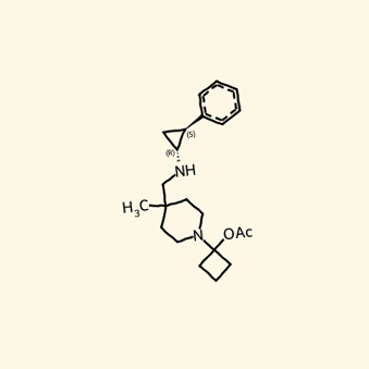 CC(=O)OC1(N2CCC(C)(CN[C@@H]3C[C@H]3c3ccccc3)CC2)CCC1